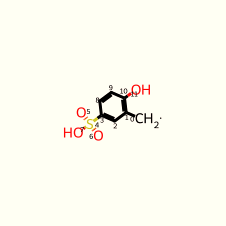 [CH2]c1cc(S(=O)(=O)O)ccc1O